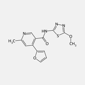 COc1nnc(NC(=O)c2cnc(C)cc2-c2ccco2)s1